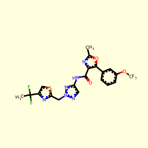 Cc1nc(C(=O)Nc2cnn(Cc3nc(C(C)(F)F)cs3)n2)c(-c2cccc(OC(F)(F)F)c2)o1